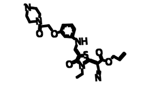 C=CCOC(=O)C(C#N)=c1sc(=CNc2cccc(OCC(=O)N3CCN(C)CC3)c2)c(=O)n1CC